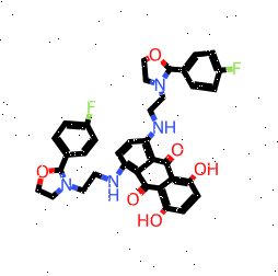 O=C1c2c(O)ccc(O)c2C(=O)c2c(NCCN3CCOC3c3ccc(F)cc3)ccc(NCCN3CCOC3c3ccc(F)cc3)c21